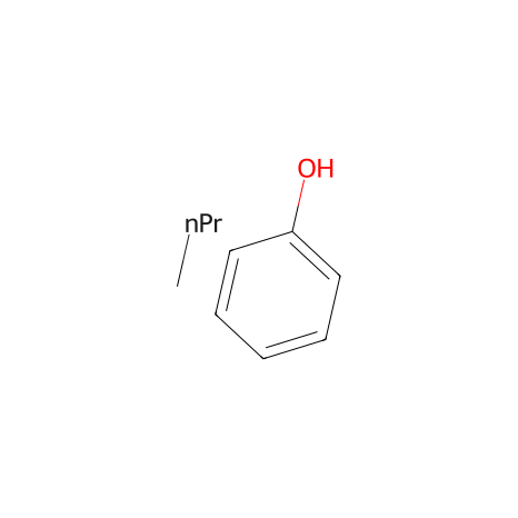 CCCC.Oc1ccccc1